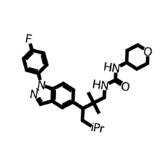 CC(C)CC(c1ccc2c(cnn2-c2ccc(F)cc2)c1)C(C)(C)CNC(=O)NC1CCOCC1